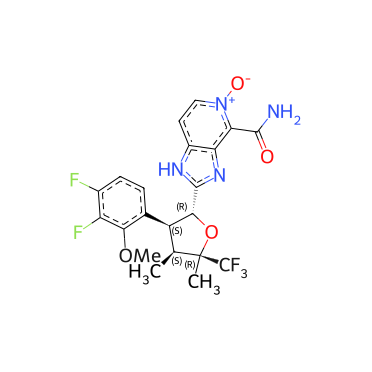 COc1c([C@H]2[C@H](c3nc4c(C(N)=O)[n+]([O-])ccc4[nH]3)O[C@@](C)(C(F)(F)F)[C@H]2C)ccc(F)c1F